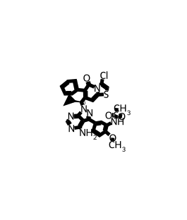 COc1ccc(-c2nn([C@H](c3cc4scc(Cl)n4c(=O)c3-c3ccccc3)C3CC3)c3ncnc(N)c23)cc1NS(C)(=O)=O